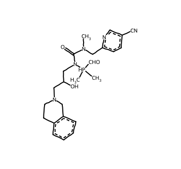 CN(Cc1ccc(C#N)cn1)C(=O)N(CC(O)CN1CCc2ccccc2C1)[PH](C)(C)C=O